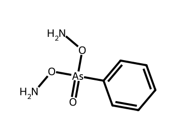 NO[As](=O)(ON)c1ccccc1